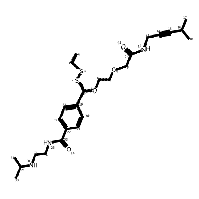 CCSSC(OCCOCC(=O)NCC#CC(C)C)c1ccc(C(=O)NCCNC(C)C)cc1